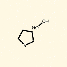 C1CCSC1.OO